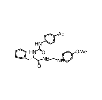 COc1ccc(NCCNC(=O)[C@H](Cc2ccccc2)NC(=O)Nc2ccc(C(C)=O)cc2)cc1